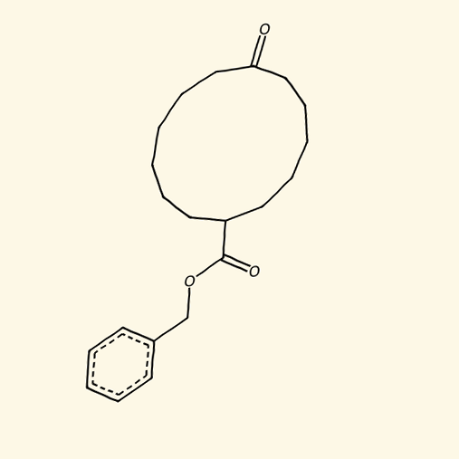 O=C1CCCCCCC(C(=O)OCc2ccccc2)CCCCC1